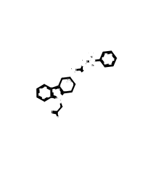 O=C(O)Cn1c2c(c3ccccc31)C[C@H](NC(=O)NS(=O)(=O)c1ccccc1)CC2